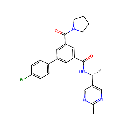 Cc1ncc([C@@H](C)NC(=O)c2cc(C(=O)N3CCCC3)cc(-c3ccc(Br)cc3)c2)cn1